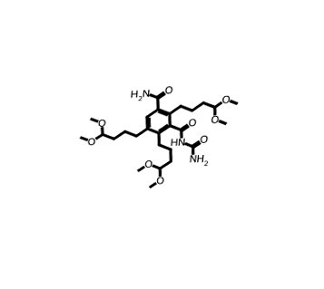 COC(CCCc1cc(C(N)=O)c(CCCC(OC)OC)c(C(=O)NC(N)=O)c1CCCC(OC)OC)OC